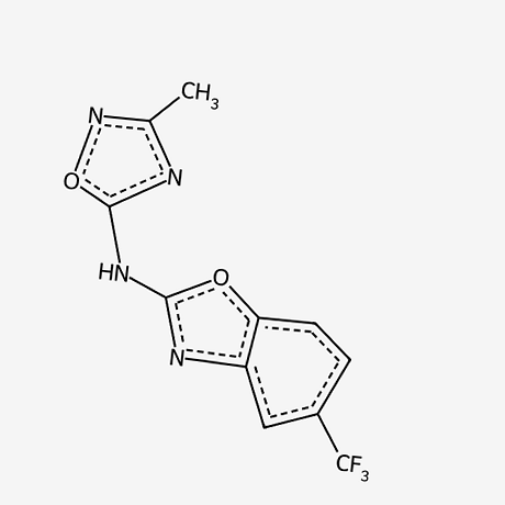 Cc1noc(Nc2nc3cc(C(F)(F)F)ccc3o2)n1